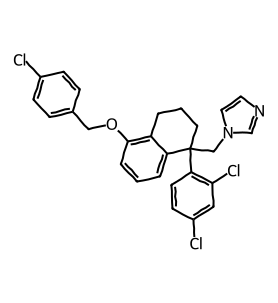 Clc1ccc(COc2cccc3c2CCCC3(Cn2ccnc2)c2ccc(Cl)cc2Cl)cc1